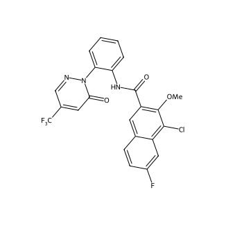 COc1c(C(=O)Nc2ccccc2-n2ncc(C(F)(F)F)cc2=O)cc2ccc(F)cc2c1Cl